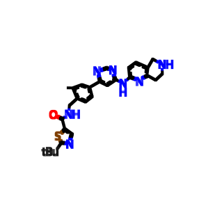 Cc1cc(-c2cc(Nc3ccc4c(n3)CCNC4)ncn2)ccc1CNC(=O)c1cnc(C(C)(C)C)s1